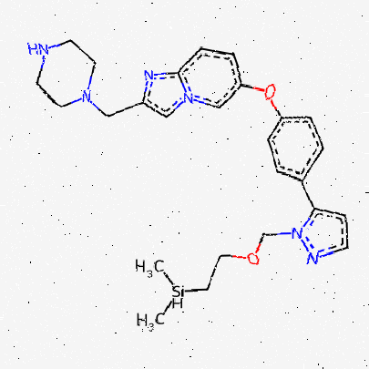 C[SiH](C)CCOCn1nccc1-c1ccc(Oc2ccc3nc(CN4CCNCC4)cn3c2)cc1